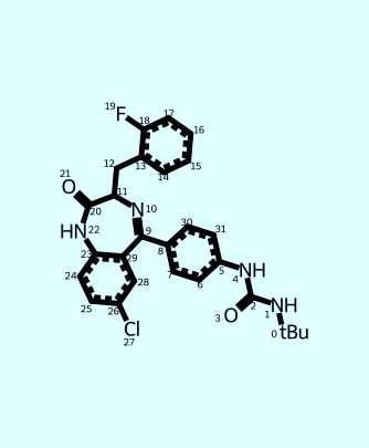 CC(C)(C)NC(=O)Nc1ccc(C2=NC(Cc3ccccc3F)C(=O)Nc3ccc(Cl)cc32)cc1